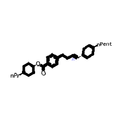 CCCCC[C@H]1CC[C@H](/C=C/CCc2ccc(C(=O)O[C@H]3CC[C@H](CCC)CC3)cc2)CC1